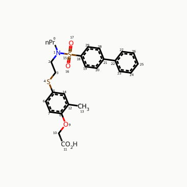 CCCN(CCSc1ccc(OCC(=O)O)c(C)c1)S(=O)(=O)c1ccc(-c2ccccc2)cc1